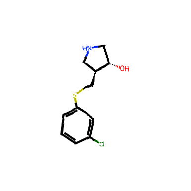 O[C@H]1CNC[C@@H]1CSc1cccc(Cl)c1